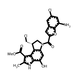 COC(=O)c1c(C)[nH]c2c(O)cc3c(c12)[C@H](CCl)CN3C(=O)c1cc2cc(Cl)cc(N)c2o1